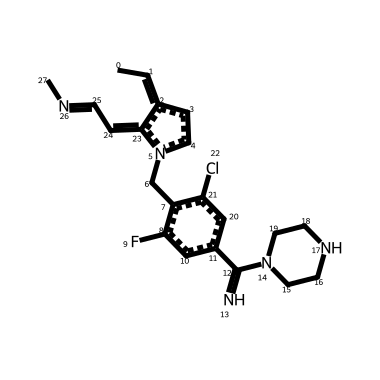 C/C=c1/ccn(Cc2c(F)cc(C(=N)N3CCNCC3)cc2Cl)/c1=C/C=N/C